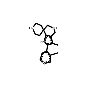 Fc1cnccc1-c1[nH]c2c(c1I)CNCC21CCNCC1